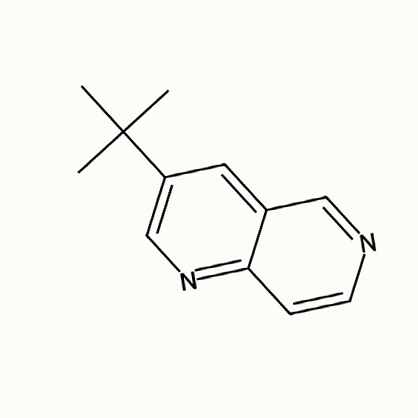 CC(C)(C)c1cnc2ccncc2c1